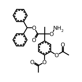 CC(=O)Oc1ccc(C(C)(ON)C(=O)OC(c2ccccc2)c2ccccc2)cc1OC(C)=O